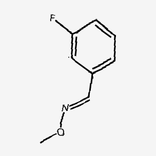 CO/N=C/c1[c]c(F)ccc1